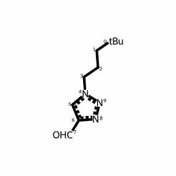 CC(C)(C)CCCn1cc(C=O)nn1